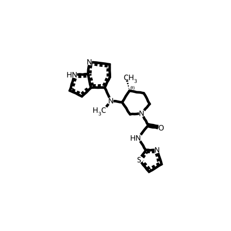 C[C@@H]1CCN(C(=O)Nc2nccs2)CC1N(C)c1ccnc2[nH]ccc12